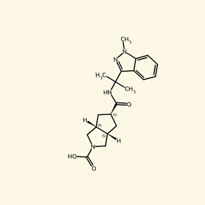 Cn1nc(C(C)(C)NC(=O)[C@H]2C[C@@H]3CN(C(=O)O)C[C@@H]3C2)c2ccccc21